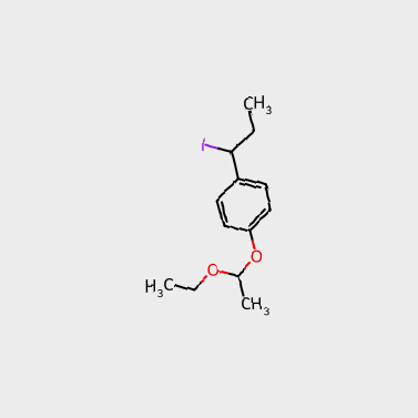 CCOC(C)Oc1ccc(C(I)CC)cc1